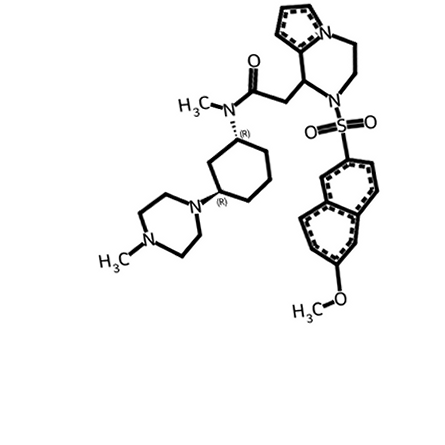 COc1ccc2cc(S(=O)(=O)N3CCn4cccc4C3CC(=O)N(C)[C@@H]3CCC[C@@H](N4CCN(C)CC4)C3)ccc2c1